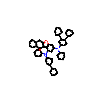 c1ccc(-c2ccc(N(c3ccccc3)c3cc(N(c4ccccc4)c4ccc(-c5ccccc5)c(-c5ccccc5)c4)cc4oc5cc6ccccc6cc5c34)cc2)cc1